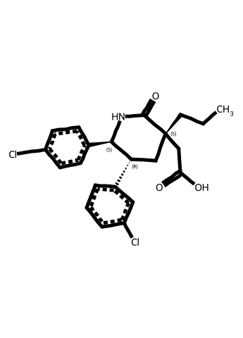 CCC[C@@]1(CC(=O)O)C[C@H](c2cccc(Cl)c2)[C@@H](c2ccc(Cl)cc2)NC1=O